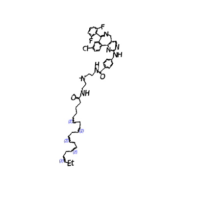 CC/C=C\C/C=C\C/C=C\C/C=C\C/C=C\CCCC(=O)NCCN(C)CCNC(=O)c1ccc(Nc2ncc3c(n2)-c2ccc(Cl)cc2C(c2c(F)cccc2F)=NC3)cc1